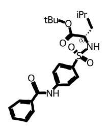 CC(C)C[C@H](NS(=O)(=O)c1ccc(NC(=O)c2ccccc2)cc1)C(=O)OC(C)(C)C